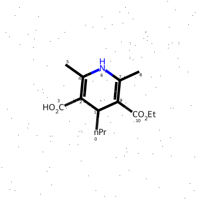 CCCC1C(C(=O)O)=C(C)NC(C)=C1C(=O)OCC